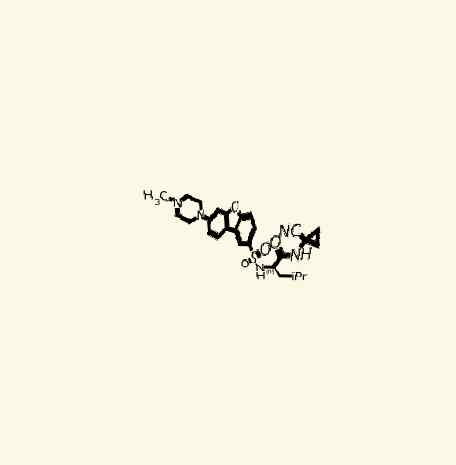 CC(C)C[C@@H](NS(=O)(=O)c1ccc2oc3cc(N4CCN(C)CC4)ccc3c2c1)C(=O)NC1(C#N)CC1